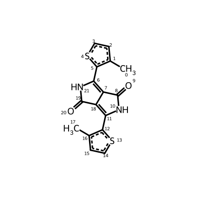 Cc1ccsc1C1=C2C(=O)NC(c3sccc3C)=C2C(=O)N1